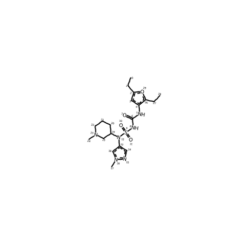 CCc1cc(NC(=O)NS(=O)(=O)N(c2cnn(C)c2)C2CCCN(C)C2)c(CC)o1